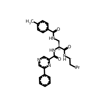 Cc1ccc(C(=O)NC[C@H](NC(=O)c2cncc(-c3ccccc3)n2)C(=O)N[CH]CC(C)C)cc1